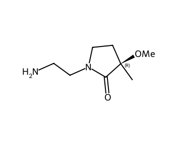 CO[C@]1(C)CCN(CCN)C1=O